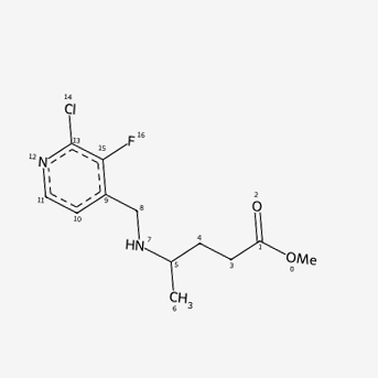 COC(=O)CCC(C)NCc1ccnc(Cl)c1F